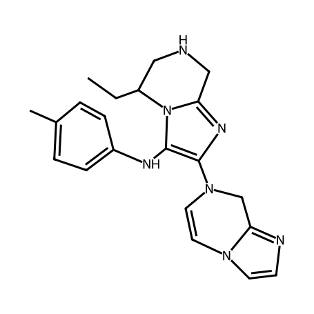 CCC1CNCc2nc(N3C=Cn4ccnc4C3)c(Nc3ccc(C)cc3)n21